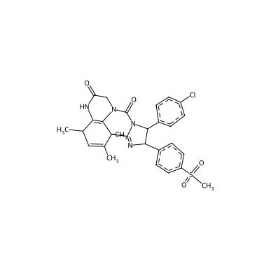 CC1=CC(C)C2=C3N(CC(=O)N2)C(=O)N2C(=NC(c4ccc(S(C)(=O)=O)cc4)C2c2ccc(Cl)cc2)C13C